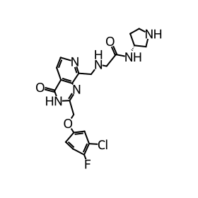 O=C(CNCc1nccc2c(=O)[nH]c(COc3ccc(F)c(Cl)c3)nc12)N[C@@H]1CCNC1